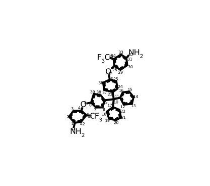 Nc1ccc(Oc2ccc(C(c3ccccc3)(c3ccccc3)c3ccc(Oc4ccc(N)cc4C(F)(F)F)cc3)cc2)c(C(F)(F)F)c1